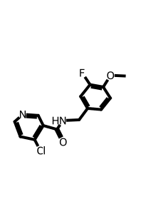 COc1ccc(CNC(=O)c2cnccc2Cl)cc1F